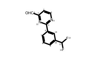 O=Cc1ccnc(-c2cccc(C(F)F)c2)n1